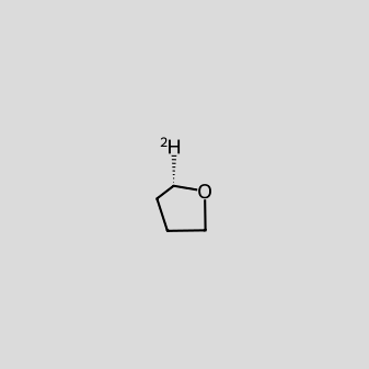 [2H][C@H]1CCCO1